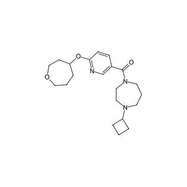 O=C(c1ccc(OC2CCCOCC2)nc1)N1CCCN(C2CCC2)CC1